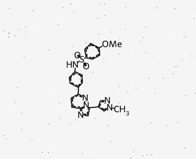 COc1ccc(S(=O)(=O)Nc2ccc(-c3ccc4ncc(-c5cnn(C)c5)n4n3)cc2)cc1